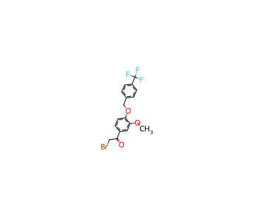 COc1cc(C(=O)CBr)ccc1OCc1ccc(C(F)(F)F)cc1